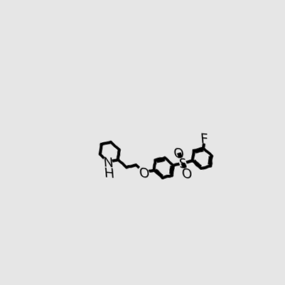 O=S(=O)(c1ccc(OCCC2CCCCN2)cc1)c1cccc(F)c1